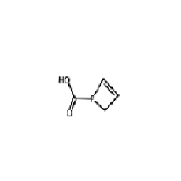 O=C(O)P1C=CC1